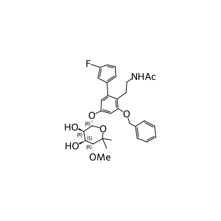 CO[C@@H]1[C@@H](O)[C@@H](O)[C@H](Oc2cc(OCc3ccccc3)c(CCNC(C)=O)c(-c3cccc(F)c3)c2)OC1(C)C